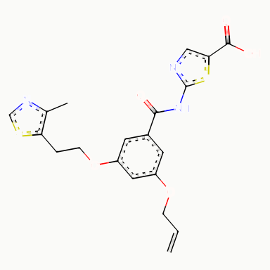 C=CCOc1cc(OCCc2scnc2C)cc(C(=O)Nc2ncc(C(=O)O)s2)c1